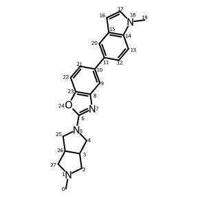 CN1CC2CN(c3nc4cc(-c5ccc6c(ccn6C)c5)ccc4o3)CC2C1